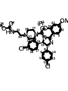 COc1ccc(C2=N[C@@H](c3ccc(Cl)cc3)[C@@H](c3ccc(Cl)cc3)N2C(=O)N2CCN(CCNC(=O)OC(C)(C)C)CC2)c(OC(C)C)c1